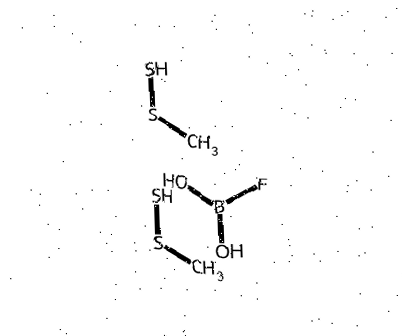 CSS.CSS.OB(O)F